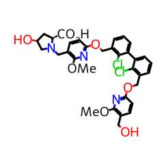 COc1nc(OCc2cccc(-c3cccc(COc4ccc(CN5C[C@@H](O)C[C@H]5C(=O)O)c(OC)n4)c3Cl)c2Cl)ccc1CO